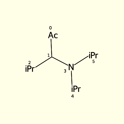 CC(=O)C(C(C)C)N(C(C)C)C(C)C